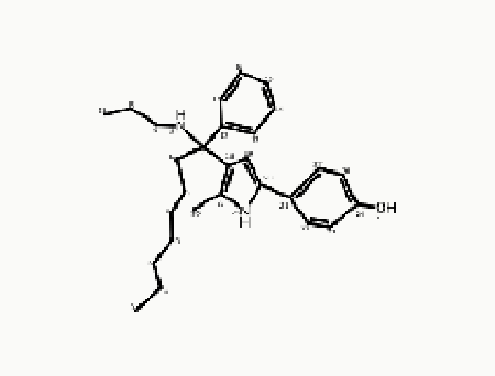 CCCCCCCC(NCCC)(c1ccccc1)c1cc(-c2ccc(O)cc2)[nH]c1C